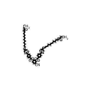 C=CC(=O)OCCCCCCCCCCCOc1cnc(-c2ccc(C(=O)Oc3ccc(C#N)cc3OC(=O)c3ccc(-c4ncc(OCCCCCCCCCCCOC(=O)C=C)cn4)cc3)cc2)nc1